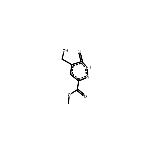 COC(=O)c1cc(CO)c(=O)[nH]n1